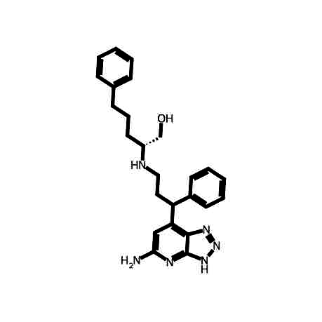 Nc1cc(C(CCN[C@@H](CO)CCCc2ccccc2)c2ccccc2)c2nn[nH]c2n1